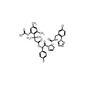 CCC(=O)Oc1cc(C)cc(C)c1C(C)(C)CC(=O)O[C@@H](C(=O)N1N=CC[C@H]1C(=O)NCc1cc(Cl)ccc1-n1cnnn1)c1ccc(F)cc1